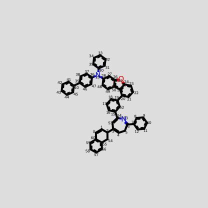 C1=CC(C2=CCC(c3ccccc3)=NC(c3cccc(-c4cccc5oc6cc(N(c7ccccc7)c7ccc(-c8ccccc8)cc7)ccc6c45)c3)=C2)Cc2ccccc21